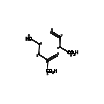 C=C(CCO)C(=O)O.C=CCC(=O)O